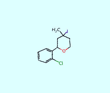 CC1(I)CCOC(c2ccccc2Cl)C1